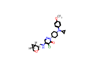 O=c1c(Cl)c(NC[C@@H]2COC[C@@H]3C[C@H]23)cnn1[C@H]1CC[C@H](N(c2ccc(OC(F)(F)F)cc2)C2CC2)CC1